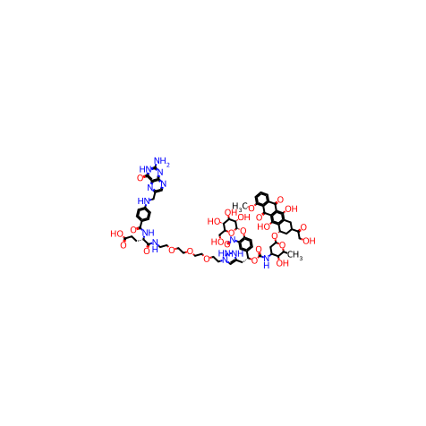 COc1cccc2c1C(=O)c1c(O)c3c(c(O)c1C2=O)CC(C(=O)CO)C[C@@H]3OC1CC(NC(=O)O[C@H](CC2=CN(CCOCCOCCOCCNC(=O)[C@H](CCC(=O)O)NC(=O)c3ccc(NCc4cnc5nc(N)[nH]c(=O)c5n4)cc3)NN2)c2ccc(O[C@@H]3OC(CO)[C@H](O)C(O)[C@@H]3O)c(N=O)c2)C(O)C(C)O1